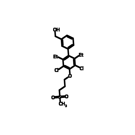 CCc1c(Cl)c(OCCCS(C)(=O)=O)c(Cl)c(CC)c1-c1cccc(CO)c1